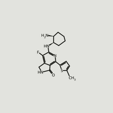 Cc1ccc(-c2nc(N[C@@H]3CCCC[C@@H]3N)c(F)c3c2C(=O)NC3)s1